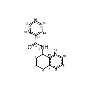 O=C(NC1CCCc2cccnc21)c1ccccn1